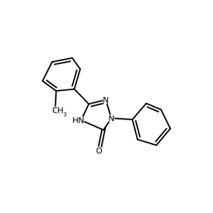 Cc1ccccc1-c1nn(-c2ccccc2)c(=O)[nH]1